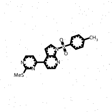 CSc1nccc(-c2ccnc3c2ccn3S(=O)(=O)c2ccc(C)cc2)n1